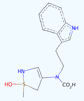 CS1(O)CC(N(CCc2c[nH]c3ccccc23)C(=O)O)=CN1